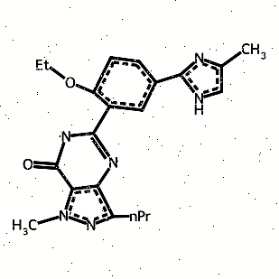 CCCc1nn(C)c2c1N=C(c1cc(-c3nc(C)c[nH]3)ccc1OCC)[N]C2=O